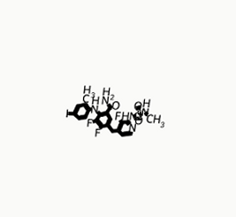 CNS(=O)(=O)Nc1nccc(Cc2cc(C(N)=O)c(Nc3ccc(I)cc3C)c(F)c2F)c1F